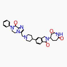 O=C1CCC(N2Cc3cc(C4CCN(Cc5cnc6n5CCN(c5ccccc5)C6=O)CC4)ccc3C2=O)C2OC2N1